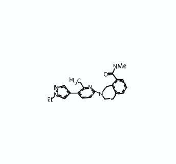 CCn1cc(-c2ccc(N3CCc4cccc(C(=O)NC)c4C3)nc2C)cn1